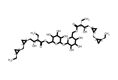 CC[C@H]1C[C@H]1C[C@H]1C[C@H]1C[C@@H](O)[C@@H](CC)C(=O)OCC1OC(OC2OC(COC(=O)[C@H](CC)[C@H](O)C[C@@H]3C[C@@H]3C[C@@H]3C[C@@H]3CC)C(O)C(O)C2O)C(O)C(O)C1O